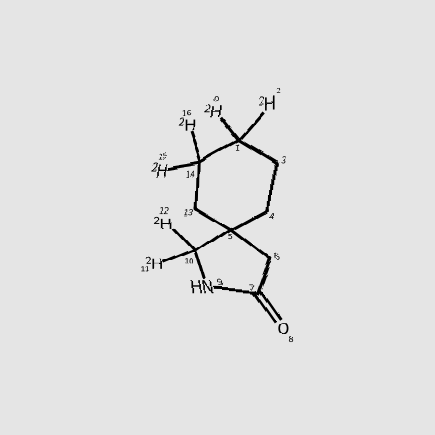 [2H]C1([2H])CCC2(CC(=O)NC2([2H])[2H])CC1([2H])[2H]